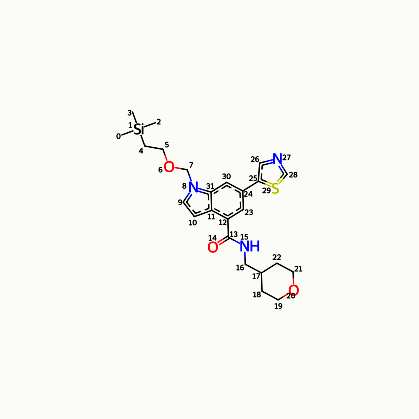 C[Si](C)(C)CCOCn1ccc2c(C(=O)NCC3CCOCC3)cc(-c3cncs3)cc21